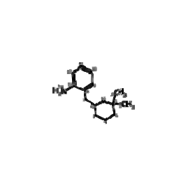 CC1(C)CCCC(Cc2ccccc2N)C1